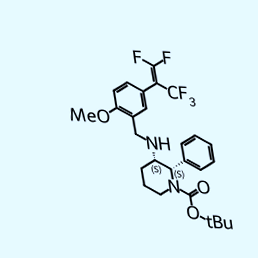 COc1ccc(C(=C(F)F)C(F)(F)F)cc1CN[C@H]1CCCN(C(=O)OC(C)(C)C)[C@H]1c1ccccc1